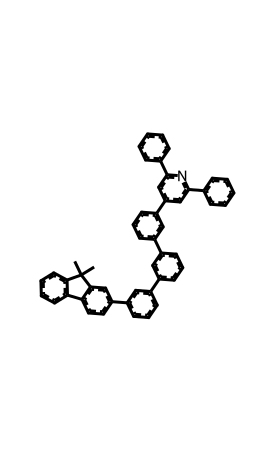 CC1(C)c2ccccc2-c2ccc(-c3cccc(-c4cccc(-c5cccc(-c6cc(-c7ccccc7)nc(-c7ccccc7)c6)c5)c4)c3)cc21